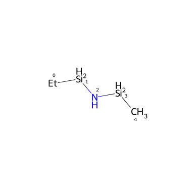 CC[SiH2]N[SiH2]C